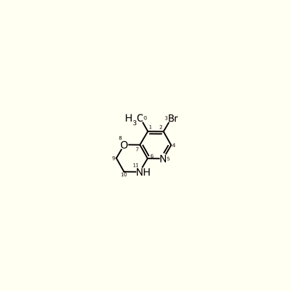 Cc1c(Br)cnc2c1OCCN2